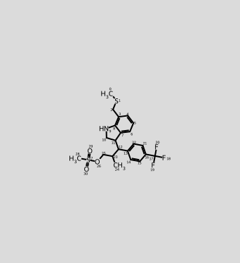 CSCc1cccc2c1NCC2C(c1ccc(C(F)(F)F)cc1)C(C)COS(C)(=O)=O